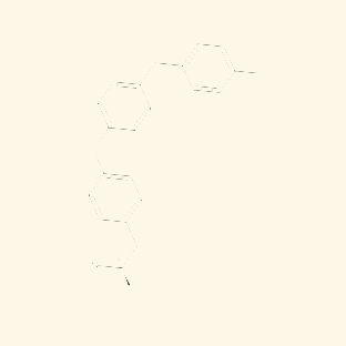 N[C@@H](Cc1ccc(Oc2ccc(Cc3ccc(Cl)cc3)cc2)cc1)C(=O)O